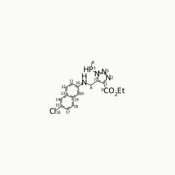 CCOC(=O)c1nnn(PC)c1CNc1ccc2cc(Cl)ccc2c1